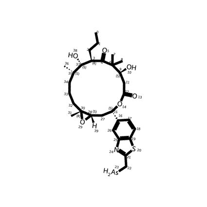 CCC[C@H]1C(=O)C(C)(C)[C@@H](O)CC(=O)O[C@H](c2ccc3sc(C[AsH2])nc3c2)C[C@@H]2O[C@]2(C)CCC[C@H](C)[C@@H]1O